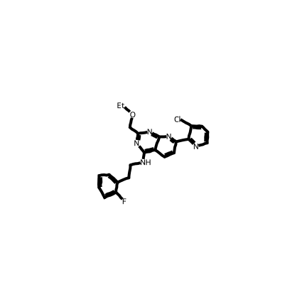 CCOCc1nc(NCCc2ccccc2F)c2ccc(-c3ncccc3Cl)nc2n1